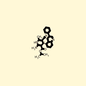 CC1=C(C#N)[C@@H](c2cccc3ncc(-c4ccccc4)cc23)C(C(=O)OC(C)C)=C(N)N1